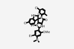 CCc1cc(C2NC3=C(N2C(C)C)C2(C(=O)Nc4cc(Cl)ccc42)N(c2cc(Cl)ccc2C)C3=O)c(OC)cc1N(C)C